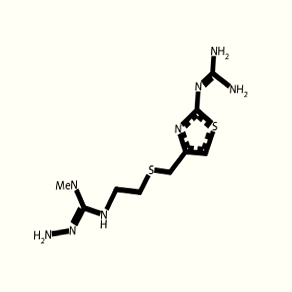 CN/C(=N\N)NCCSCc1csc(N=C(N)N)n1